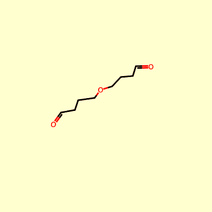 O=CCCCOCCCC=O